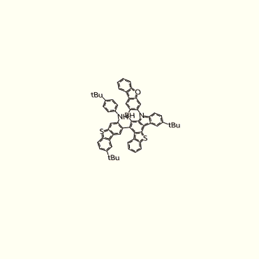 CC(C)(C)c1ccc(Nc2cc3sc4ccc(C(C)(C)C)cc4c3cc2-c2c3c4c(c5cc(C(C)(C)C)ccc5n4-c4cc5oc6ccccc6c5cc4B3)c3sc4ccccc4c23)cc1